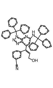 N#Cc1cccc(C(=CCO)c2cc(NC(c3ccccc3)(c3ccccc3)c3ccccc3)nc3c2nnn3C(c2ccccc2)(c2ccccc2)c2ccccc2)c1